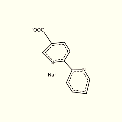 O=C([O-])c1ccc(-c2ccccn2)nc1.[Na+]